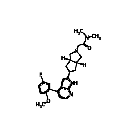 COc1ccc(F)cc1-c1ccnc2[nH]c([C@H]3C[C@@H]4CN(CC(=O)N(C)C)C[C@@H]4C3)cc12